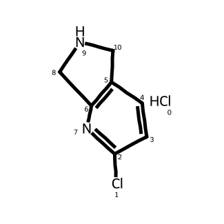 Cl.Clc1ccc2c(n1)CNC2